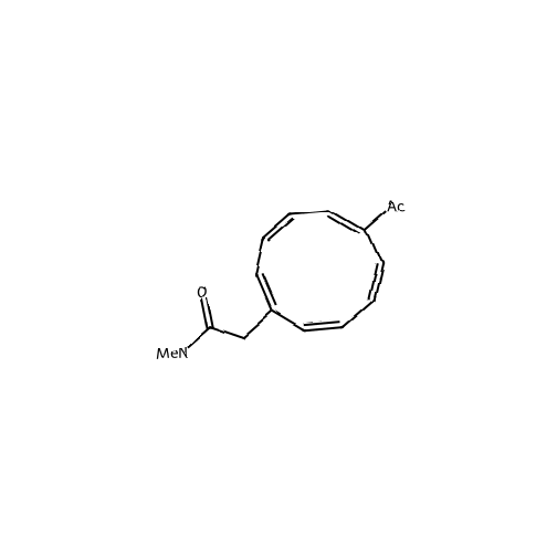 CNC(=O)Cc1ccccc(C(C)=O)cccc1